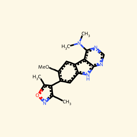 COc1cc2c(cc1-c1c(C)noc1C)[nH]c1ncnc(N(C)C)c12